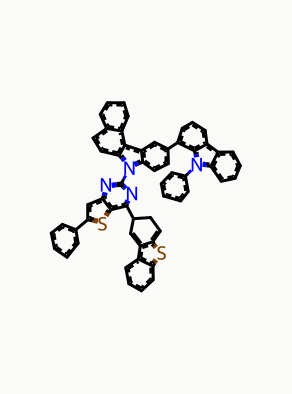 C1=c2sc3ccccc3c2=CC(c2nc(-n3c4ccc(-c5cccc6c7ccccc7n(-c7ccccc7)c56)cc4c4c5ccccc5ccc43)nc3cc(-c4ccccc4)sc23)C1